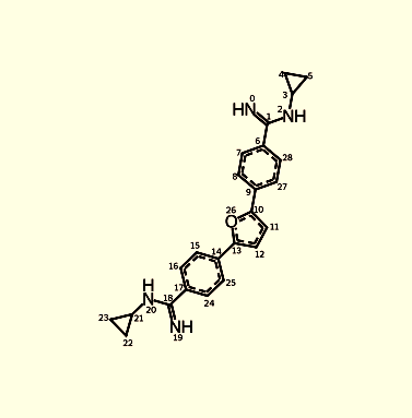 N=C(NC1CC1)c1ccc(-c2ccc(-c3ccc(C(=N)NC4CC4)cc3)o2)cc1